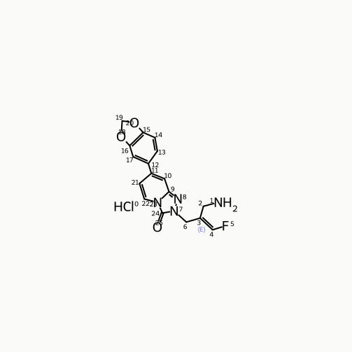 Cl.NC/C(=C\F)Cn1nc2cc(-c3ccc4c(c3)OCO4)ccn2c1=O